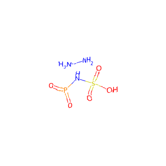 NN.O=P(=O)NS(=O)(=O)O